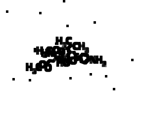 CNC(=O)[C@H](CCC(=O)OC)NC(=O)[C@@H](C(=O)O)[C@H](CSc1ccc(N)cc1)CC(C)C